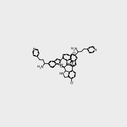 NC(CCc1ccncc1)c1ccc2[nH]c(-c3ccc(Cl)c4c3C(C(=O)C3NCc5c(Cl)ccc(-c6cc7cc(C(N)CCc8ccncc8)ccc7[nH]6)c53)NC4)cc2c1